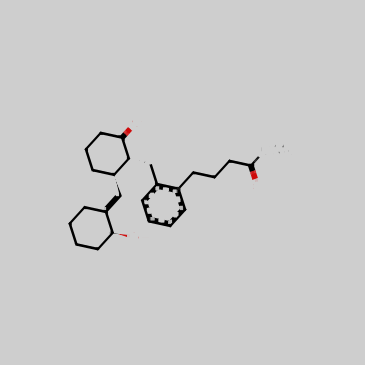 COC(=O)CCCc1ccccc1C[C@H]1C(=O)CCC[C@@H]1/C=C1\CCCC[C@@H]1O